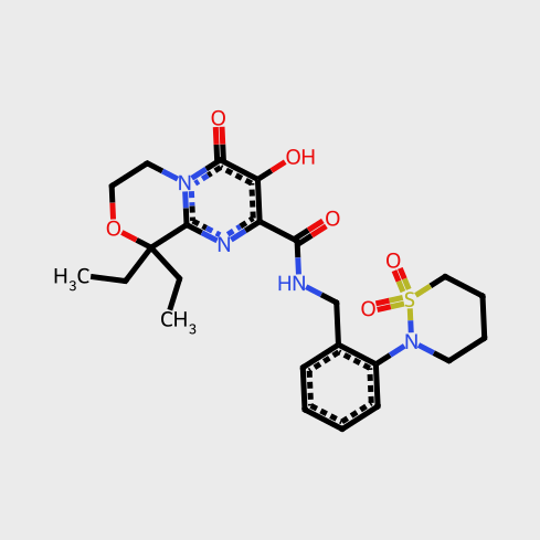 CCC1(CC)OCCn2c1nc(C(=O)NCc1ccccc1N1CCCCS1(=O)=O)c(O)c2=O